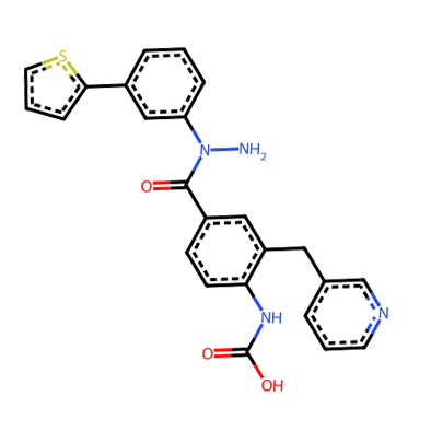 NN(C(=O)c1ccc(NC(=O)O)c(Cc2cccnc2)c1)c1cccc(-c2cccs2)c1